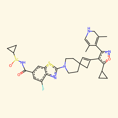 CC1=CNCC(C)=C1c1noc(C2CC2)c1C1=CC2(CCN(c3nc4c(F)cc(C(=O)N[S+]([O-])C5CC5)cc4s3)CC2)C1